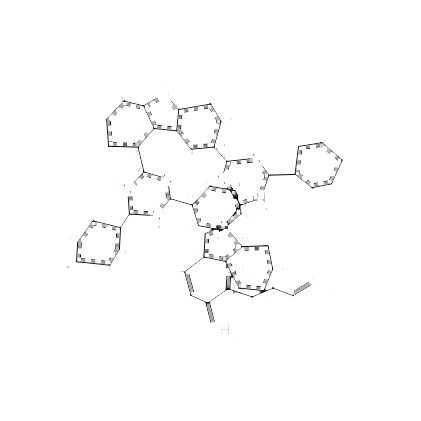 C=CCCC(=C)C(=C)/C=C\c1cn(-c2nc(-c3ccccc3)nc(-c3ccc4oc5cccc(-c6nc(-c7ccccc7)nc(-c7ccccc7)n6)c5c4c3)n2)c2ccccc12